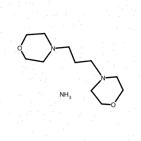 C(CN1CCOCC1)CN1CCOCC1.N